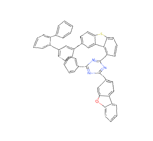 c1ccc(-c2nc(-c3ccc4c(c3)oc3ccccc34)nc(-c3cccc4sc5ccc(-c6cccc(-c7ccccc7-c7ccccc7)c6)cc5c34)n2)cc1